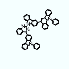 C1=C(c2ccc3c(c2)c2ccccc2n3-c2nc(-c3ccc4c(c3)c3ccccc3n4-c3ccccc3)c3ccccc3n2)c2ccccc2C2C1c1ccccc1N2c1ccccc1